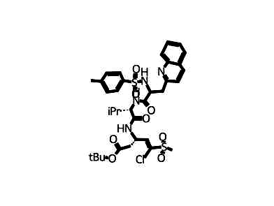 Cc1ccc(S(=O)(=O)NC(Cc2ccc3ccccc3n2)C(=O)N[C@H](C(=O)N[C@H](/C=C(\Cl)S(C)(=O)=O)CC(=O)OC(C)(C)C)C(C)C)cc1